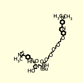 Cc1ncsc1-c1ccc(CNC(=O)[C@@H]2C[C@@H](O)CN2C[C@@H](NC(=O)COCCOCCOCCOCCCOc2ccc3nc(-c4ccc(N(C)C)cc4)ccc3c2)C(C)(C)C)cc1